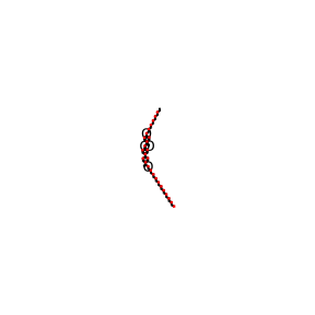 CCCCCCCCCCCCCCCCCCCCOC(C)c1ccc(-c2ccc(OC(=O)c3ccc(OCCCCCCCCCCCC)cc3)cc2)cc1